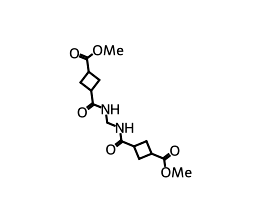 COC(=O)C1CC(C(=O)NCNC(=O)C2CC(C(=O)OC)C2)C1